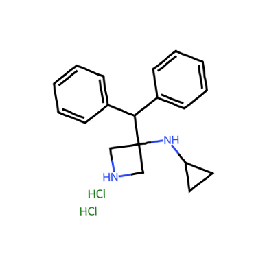 Cl.Cl.c1ccc(C(c2ccccc2)C2(NC3CC3)CNC2)cc1